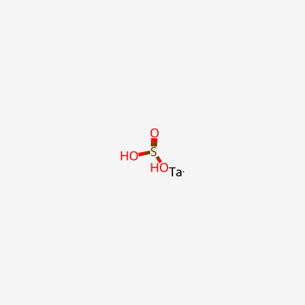 O=S(O)O.[Ta]